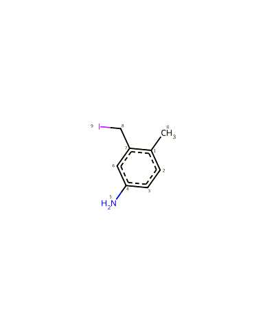 Cc1ccc(N)cc1CI